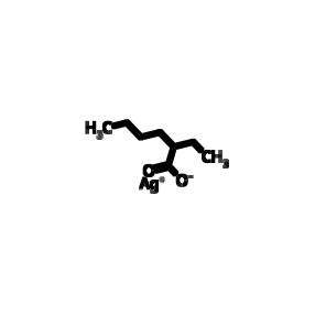 CCCCC(CC)C(=O)[O-].[Ag+]